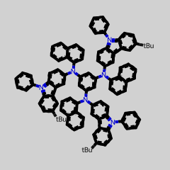 CC(C)(C)c1ccc2c(c1)c1cc(N(c3cc(N(c4ccc5c(c4)c4cc(C(C)(C)C)ccc4n5-c4ccccc4)c4cccc5ccccc45)cc(N(c4ccc5c(c4)c4cc(C(C)(C)C)ccc4n5-c4ccccc4)c4cccc5ccccc45)c3)c3cccc4ccccc34)ccc1n2-c1ccccc1